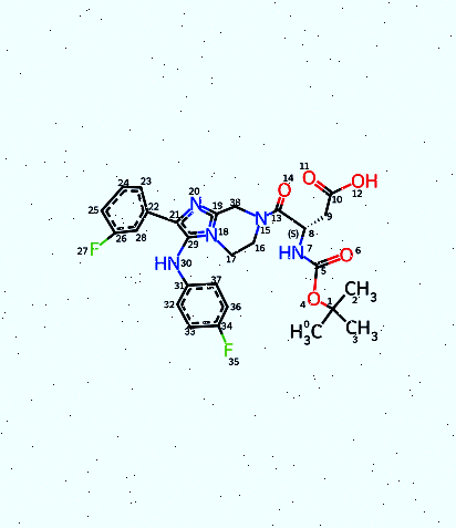 CC(C)(C)OC(=O)N[C@@H](CC(=O)O)C(=O)N1CCn2c(nc(-c3cccc(F)c3)c2Nc2ccc(F)cc2)C1